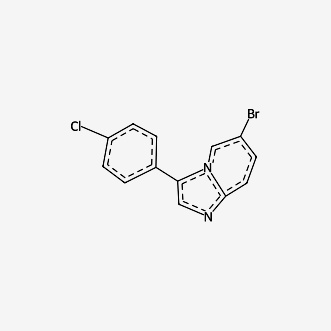 Clc1ccc(-c2cnc3ccc(Br)cn23)cc1